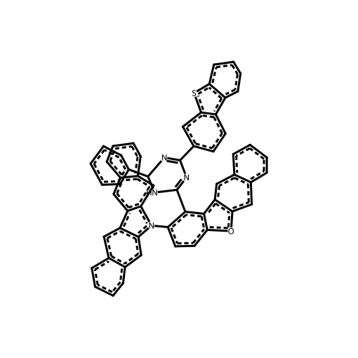 c1ccc(C2N=C(c3ccc4c(c3)sc3ccccc34)N=C(c3c(-n4c5cc6ccccc6cc5c5cc6ccccc6cc54)ccc4oc5cc6ccccc6cc5c34)N2)cc1